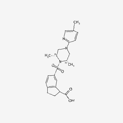 Cc1ccc(N2C[C@@H](C)N(S(=O)(=O)c3ccc4c(c3)C(C(=O)O)CC4)[C@@H](C)C2)nc1